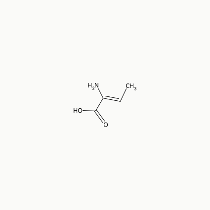 CC=C(N)C(=O)O